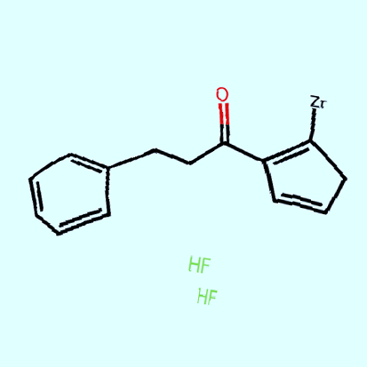 F.F.O=C(CCc1ccccc1)C1=[C]([Zr])CC=C1